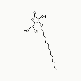 CCCCCCCCCCCCCCOC1=C(O)C(=O)OC1C(O)CO